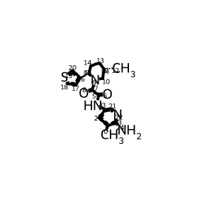 Cc1cc(NC(=O)C(=O)N2C[C@@H](C)CC[C@@H]2c2ccsc2)cnc1N